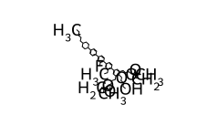 C=C(C)C(=O)OCCCc1cc(-c2ccc(-c3ccc(-c4ccc(C5CCC(CCCCC)CC5)cc4)cc3F)cc2CC)cc(CCCOC(=O)C(=C)C)c1OCCCO